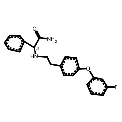 NC(=O)[C@@H](NCCc1ccc(Oc2cccc(F)c2)cc1)c1ccccc1